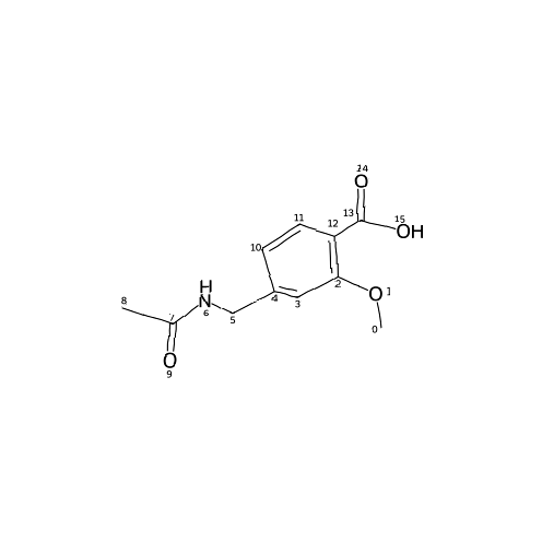 COc1cc(CNC(C)=O)ccc1C(=O)O